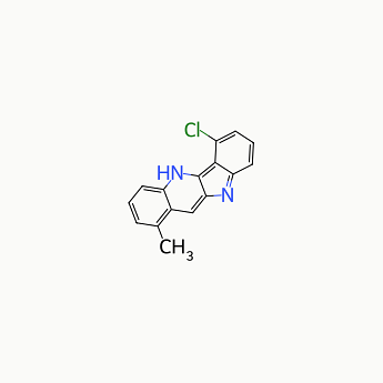 Cc1cccc2[nH]c3c4c(Cl)cccc4nc-3cc12